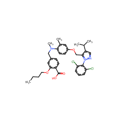 CCCCOc1cc(CN(C)c2ccc(OCc3c(C(C)C)cnn3-c3c(Cl)cccc3Cl)cc2C)ccc1C(=O)O